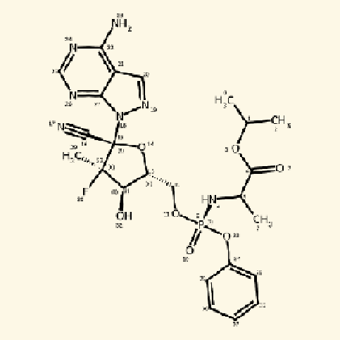 CC(C)OC(=O)C(C)N[P@@](=O)(OC[C@H]1O[C@@](C#N)(n2ncc3c(N)ncnc32)[C@](C)(F)[C@@H]1O)Oc1ccccc1